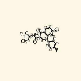 O=C(N[C@@H](CCl)C(F)(F)F)c1cn(-c2ncc(F)cc2F)c2nc(Cl)ccc2c1=O